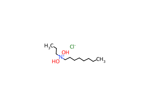 CCCCCCCC[N+](O)(O)CCC.[Cl-]